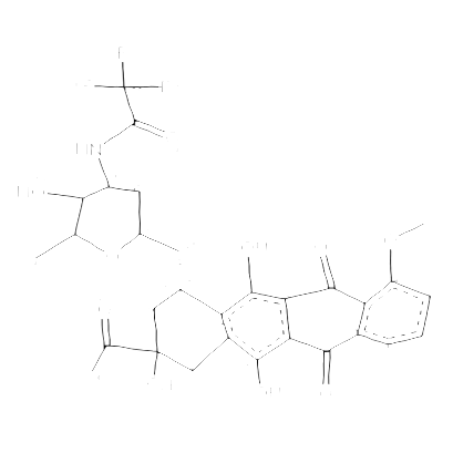 COc1cccc2c1C(=O)c1c(O)c3c(c(O)c1C2=O)CC(O)(C(C)=O)C[C@@H]3CC1CC(NC(=O)C(F)(F)F)C(O)C(C)O1